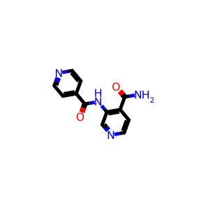 NC(=O)c1ccncc1NC(=O)c1ccncc1